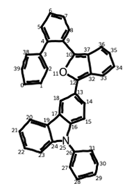 c1ccc(-c2ccccc2-c2oc(-c3ccc4c(c3)c3ccccc3n4-c3ccccc3)c3ccccc23)cc1